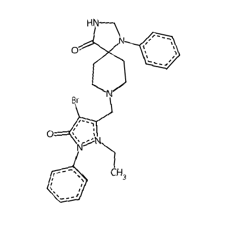 CCn1c(CN2CCC3(CC2)C(=O)NCN3c2ccccc2)c(Br)c(=O)n1-c1ccccc1